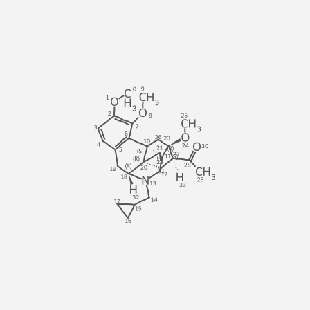 COc1ccc2c(c1OC)[C@]13CCN(CC4CC4)[C@H](C2)[C@]12C=C[C@](OC)(C3)[C@@H](C(C)=O)C2